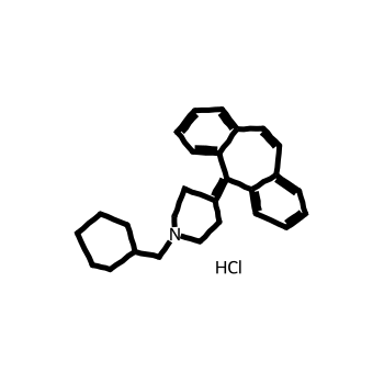 C1=Cc2ccccc2C(=C2CCN(CC3CCCCC3)CC2)c2ccccc21.Cl